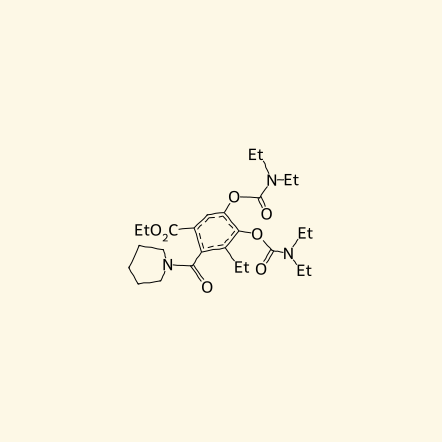 CCOC(=O)c1cc(OC(=O)N(CC)CC)c(OC(=O)N(CC)CC)c(CC)c1C(=O)N1CCCCC1